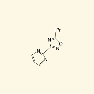 CC(C)c1nc(-c2ncccn2)no1